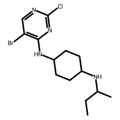 CCC(C)NC1CCC(Nc2nc(Cl)ncc2Br)CC1